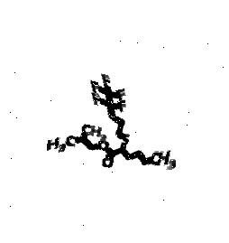 CCCCC(SCCCC(F)(F)C(F)(F)F)C(=O)OCC(C)C